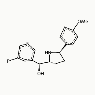 COc1ccc([C@H]2CC[C@H]([C@@H](O)c3cncc(F)c3)N2)cc1